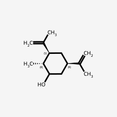 C=C(C)[C@H]1CC(O)[C@H](C)[C@@H](C(=C)C)C1